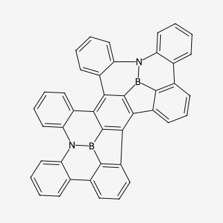 c1ccc2c(c1)-c1cccc3c1B1c4c(c5c6c(c4-3)-c3cccc4c3B6N(c3ccccc3-4)c3ccccc3-5)-c3ccccc3N12